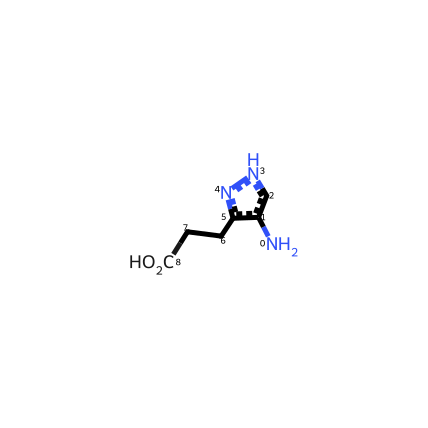 Nc1c[nH]nc1CCC(=O)O